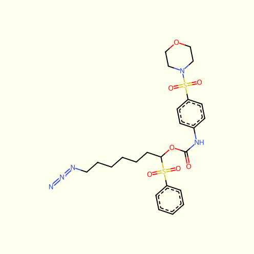 [N-]=[N+]=NCCCCCCC(OC(=O)Nc1ccc(S(=O)(=O)N2CCOCC2)cc1)S(=O)(=O)c1ccccc1